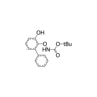 CC(C)(C)OC(=O)NOc1c(-c2ccccc2)[c]ccc1O